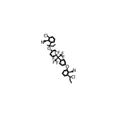 CCC(Cl)c1cccc(Oc2ccc(C(c3ccc(OC(C)(CC)c4cccc(Cl)c4C#N)cc3)(C(F)(F)F)C(F)(F)F)cc2)c1C#N